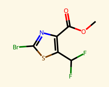 COC(=O)c1nc(Br)sc1C(F)F